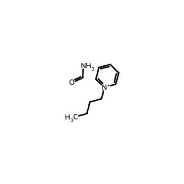 CCCC[n+]1ccccc1.NC=O